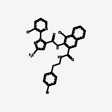 O=C(NCCc1ccc(Br)cc1)c1cc2ccccc2c(Cl)c1NC(=O)c1cc(C(F)(F)F)nn1-c1ncccc1Cl